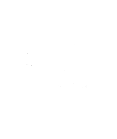 Cc1ccc(CS(=O)(=O)Nc2ccc3c(c2)C(=O)N(C2CCC(=O)NC2=O)C3=O)cc1